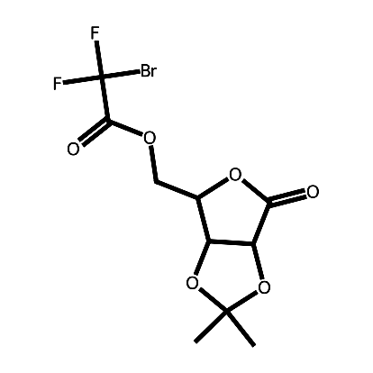 CC1(C)OC2C(=O)OC(COC(=O)C(F)(F)Br)C2O1